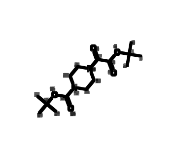 CC(C)(C)OC(=O)C(=O)N1CCN(C(=O)OC(C)(C)C)CC1